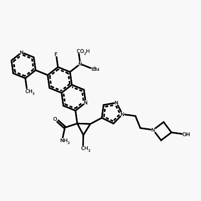 Cc1ccncc1-c1cc2cc(C3(C(N)=O)C(C)C3c3cnn(CCN4CC(O)C4)c3)ncc2c(N(C(=O)O)C(C)(C)C)c1F